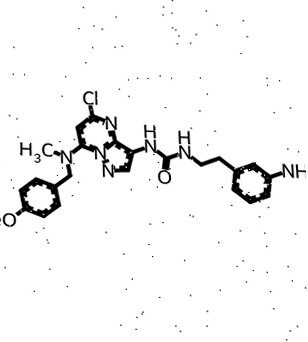 COc1ccc(CN(C)c2cc(Cl)nc3c(NC(=O)NCCc4cccc(N)c4)cnn23)cc1